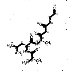 CC(C)C[C@H](NC(=O)[C@H](C)N)C(=O)N[C@@H](C)C(=O)CC(=O)C[C]C=O